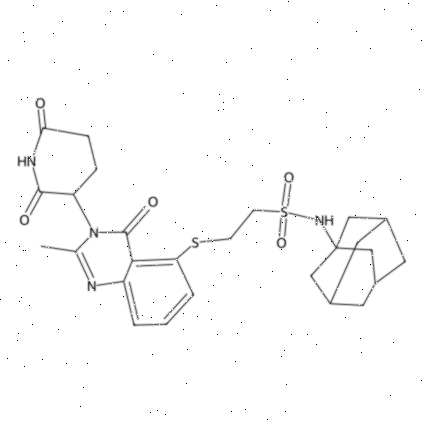 Cc1nc2cccc(SCCS(=O)(=O)NC34CC5CC(CC(C5)C3)C4)c2c(=O)n1C1CCC(=O)NC1=O